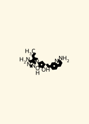 CCCc1cn([C@@H]2C[C@H](CCc3ccc4ccc(N)nc4c3)[C@@H](O)[C@H]2O)c2ncnc(N)c12